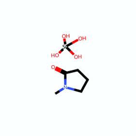 CN1CCCC1=O.O[Si](O)(O)O